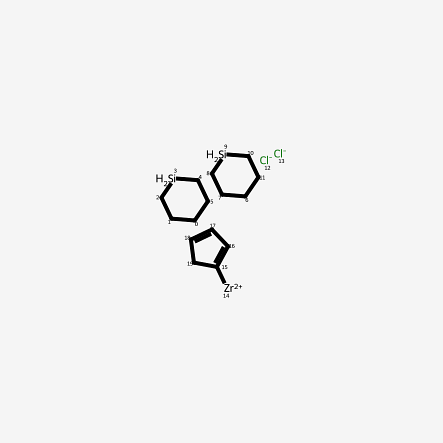 C1CC[SiH2]CC1.C1CC[SiH2]CC1.[Cl-].[Cl-].[Zr+2][C]1=CC=CC1